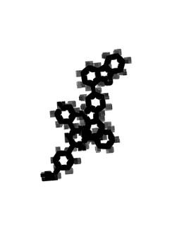 CC(C)(C)c1ccc(-c2nc(-c3ccccc3)nc(-c3ccncc3-n3c4ccccc4c4ccc(-c5cccc6c5oc5ccccc56)cc43)n2)cc1